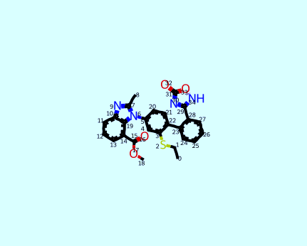 CCSc1cc(-n2c(C)nc3cccc(C(=O)OC)c32)ccc1-c1ccccc1-c1nc(=O)o[nH]1